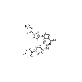 C=CC(=O)N1CC[C@H](n2cnc3c(N)nc(Nc4ccc(N5CCCCC5)cc4)nc32)C1